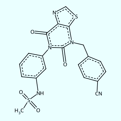 CS(=O)(=O)Nc1cccc(-n2c(=O)c3ncsc3n(Cc3ccc(C#N)cc3)c2=O)c1